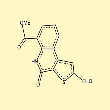 COC(=O)c1cccc2c1[nH]c(=O)c1sc(C=O)cc12